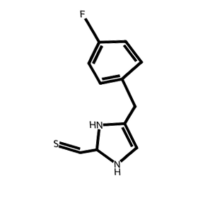 Fc1ccc(CC2=CNC(C=S)N2)cc1